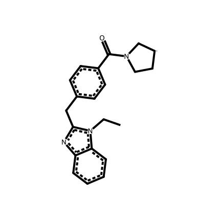 CCn1c(Cc2ccc(C(=O)N3C[CH]CC3)cc2)nc2ccccc21